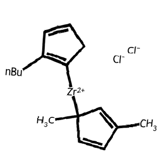 CCCCC1=[C]([Zr+2][C]2(C)C=CC(C)=C2)CC=C1.[Cl-].[Cl-]